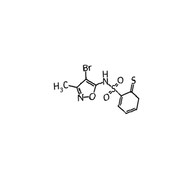 Cc1noc(NS(=O)(=O)C2=CC=CCC2=S)c1Br